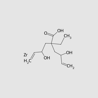 C=CC(O)CC(CC)(CC(O)C=C)C(=O)O.[Zr]